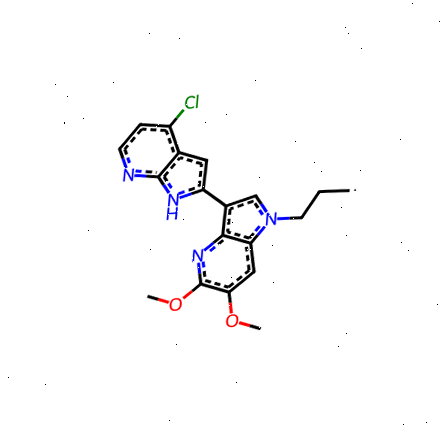 [CH2]CCn1cc(-c2cc3c(Cl)ccnc3[nH]2)c2nc(OC)c(OC)cc21